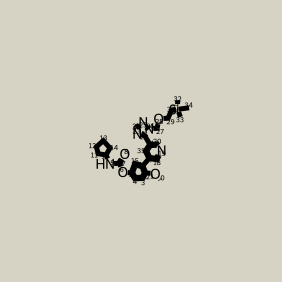 COc1ccc(OC(=O)NC2CCCC2)cc1-c1cncc(-c2ncnn2COCC[Si](C)(C)C)c1